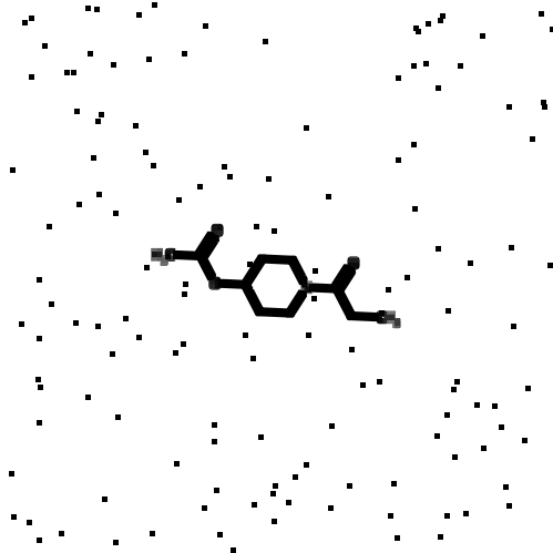 CCC(=O)N1CCC(OC(C)=O)CC1